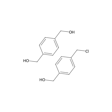 OCc1ccc(CCl)cc1.OCc1ccc(CO)cc1